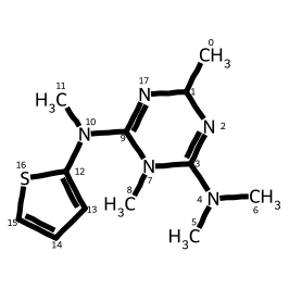 CC1N=C(N(C)C)N(C)C(N(C)c2cccs2)=N1